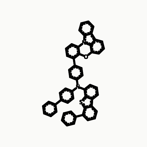 c1ccc(-c2ccc(N(c3ccc(-c4cccc5c4Oc4cccc6c7ccccc7n-5c46)cc3)c3cccc4c3sc3c(-c5ccccc5)cccc34)cc2)cc1